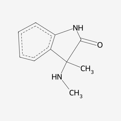 CNC1(C)C(=O)Nc2ccccc21